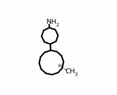 C[C@@H]1CCCCCCCC(C2CCCC(N)CCC2)CCC1